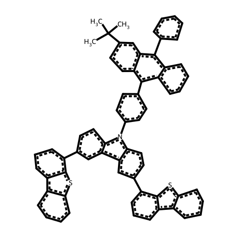 CC(C)(C)c1ccc2c(-c3ccc(-n4c5ccc(-c6cccc7c6sc6ccccc67)cc5c5cc(-c6cccc7c6sc6ccccc67)ccc54)cc3)c3ccccc3c(-c3ccccc3)c2c1